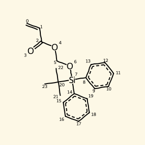 C=CC(=O)OCO[Si](c1ccccc1)(c1ccccc1)C(C)(C)C